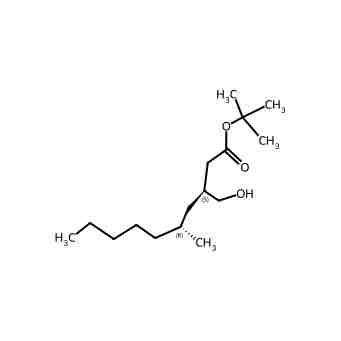 CCCCC[C@@H](C)C[C@H](CO)CC(=O)OC(C)(C)C